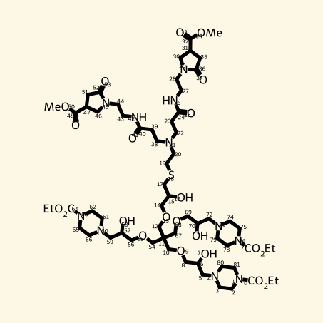 CCOC(=O)N1CCN(CC(O)COCC(COCC(O)CSCCN(CCC(=O)NCCN2CC(C(=O)OC)CC2=O)CCC(=O)NCCN2CC(C(=O)OC)CC2=O)(COCC(O)CN2CCN(C(=O)OCC)CC2)COCC(O)CN2CCN(C(=O)OCC)CC2)CC1